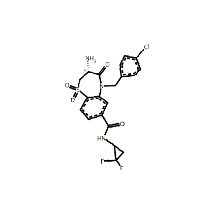 N[C@H]1CS(=O)(=O)c2ccc(C(=O)NC3CC3(F)F)cc2N(Cc2ccc(Cl)cc2)C1=O